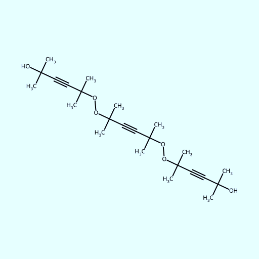 CC(C)(O)C#CC(C)(C)OOC(C)(C)C#CC(C)(C)OOC(C)(C)C#CC(C)(C)O